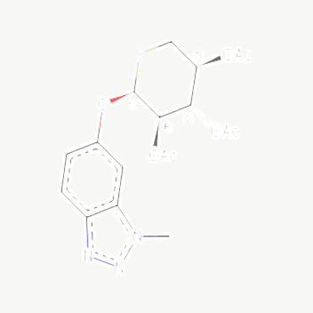 CC(=O)O[C@@H]1[C@@H](OC(C)=O)[C@@H](Oc2ccc3nnn(C)c3c2)SC[C@H]1OC(C)=O